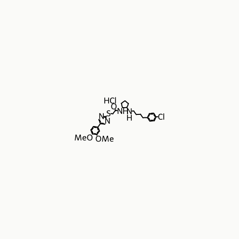 COc1ccc(-c2cnc(SCC(=O)NC3CCCC3NCCCCc3ccc(Cl)cc3)nc2)cc1OC.Cl